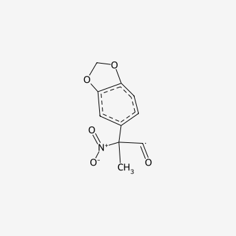 CC([C]=O)(c1ccc2c(c1)OCO2)[N+](=O)[O-]